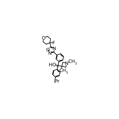 CC(C)c1ccc([C@](O)(c2cccc(-c3noc(C4(F)CCOCC4)n3)c2)C2(C)CN(C)C2)cc1